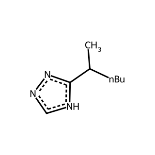 CCCCC(C)c1nnc[nH]1